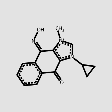 C[n+]1cn(C2CC2)c2c1/C(=N\O)c1ccccc1C2=O